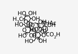 CC(=O)N[C@@H]1C(O)C[C@](OC2C(O)[C@H](O[C@@H]3C(C)[C@H](O)OC(CO)[C@H]3O[C@@H]3O[C@@H](C)[C@@H](O)C(O)C3O)OC(CO)[C@@H]2O)(C(=O)O)OC1[C@H](O)[C@H](O)CO